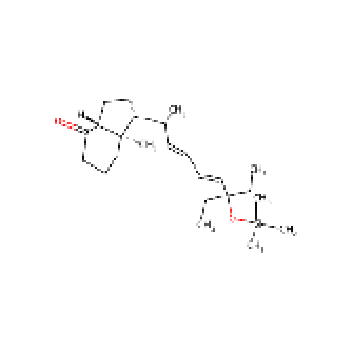 CCC(/C=C/C=C/[C@@H](C)[C@H]1CC[C@H]2C(=O)CCC[C@]12C)(CC)O[Si](C)(C)C